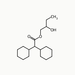 CCC(O)COC(=O)C(C1CCCCC1)C1CCCCC1